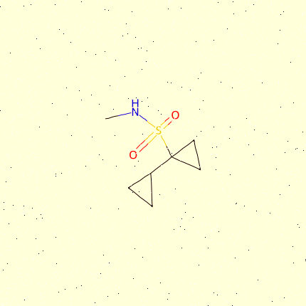 CNS(=O)(=O)C1(C2CC2)CC1